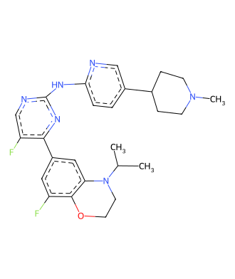 CC(C)N1CCOc2c(F)cc(-c3nc(Nc4ccc(C5CCN(C)CC5)cn4)ncc3F)cc21